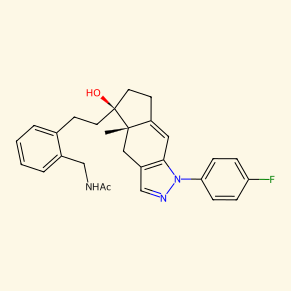 CC(=O)NCc1ccccc1CC[C@]1(O)CCC2=Cc3c(cnn3-c3ccc(F)cc3)C[C@@]21C